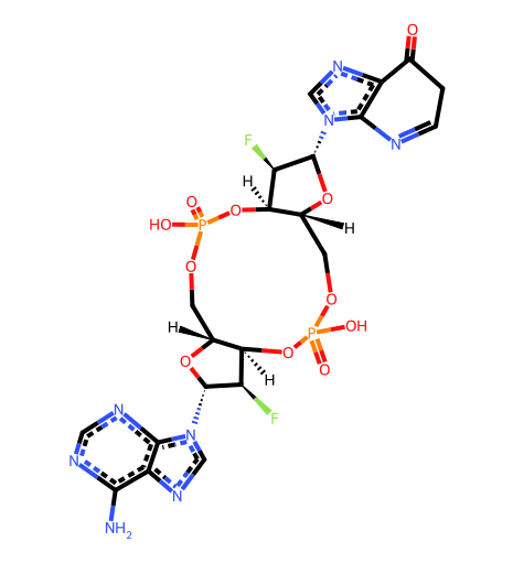 Nc1ncnc2c1ncn2[C@@H]1O[C@@H]2COP(=O)(O)O[C@H]3[C@@H](F)[C@H](n4cnc5c4N=CCC5=O)O[C@@H]3COP(=O)(O)O[C@H]2[C@H]1F